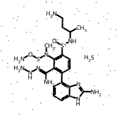 CC(CCN)N[S+]([O-])c1ccc(-c2cccc3[nH]c(N)nc23)c(/C(N)=N/NN)c1N(C)SON.S